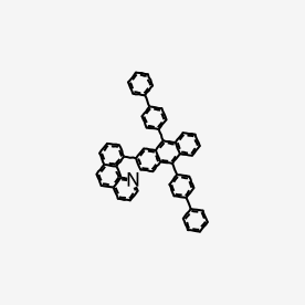 c1ccc(-c2ccc(-c3c4ccccc4c(-c4ccc(-c5ccccc5)cc4)c4cc(-c5cccc6ccc7cccnc7c56)ccc34)cc2)cc1